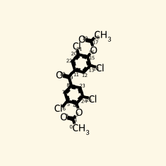 CC(=O)Oc1c(Cl)cc(C(=O)c2cc(Cl)c(OC(C)=O)c(Cl)c2)cc1Cl